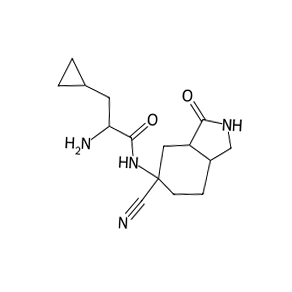 N#CC1(NC(=O)C(N)CC2CC2)CCC2CNC(=O)C2C1